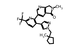 CN1Cc2ncc(-c3nc(C(F)(F)F)ccc3-c3cnn(CC4(C)CCCC4)c3)cc2C1=O